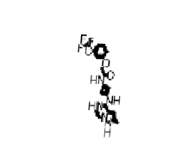 CC1CC2C(NC34CC(NC(=O)COc5cccc(OC(F)(F)F)c5)(C3)C4)NCCN2N1